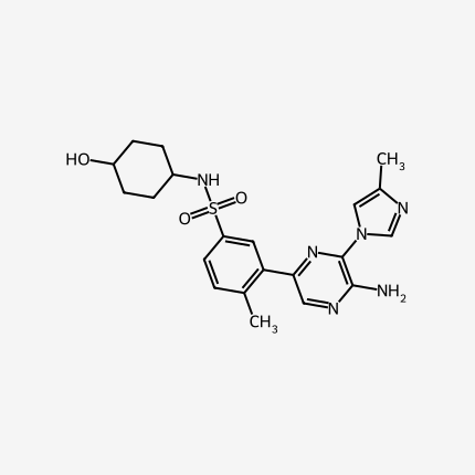 Cc1cn(-c2nc(-c3cc(S(=O)(=O)NC4CCC(O)CC4)ccc3C)cnc2N)cn1